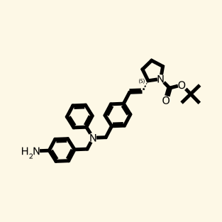 CC(C)(C)OC(=O)N1CCC[C@H]1C=Cc1ccc(CN(Cc2ccc(N)cc2)c2ccccc2)cc1